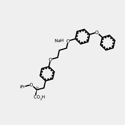 CC(C)O[C@@H](Cc1ccc(OCCCOc2ccc(Oc3ccccc3)cc2)cc1)C(=O)O.[NaH]